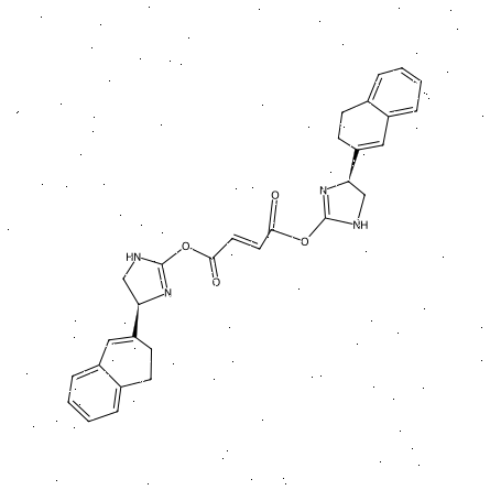 O=C(/C=C/C(=O)OC1=N[C@@H](C2=Cc3ccccc3CC2)CN1)OC1=N[C@@H](C2=Cc3ccccc3CC2)CN1